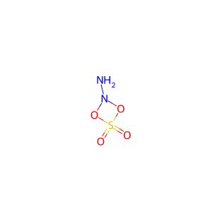 NN1OS(=O)(=O)O1